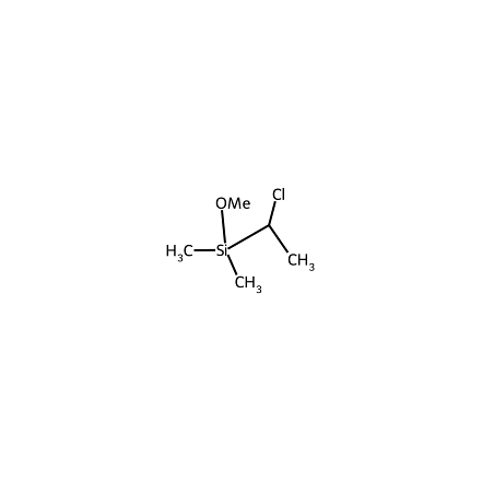 CO[Si](C)(C)C(C)Cl